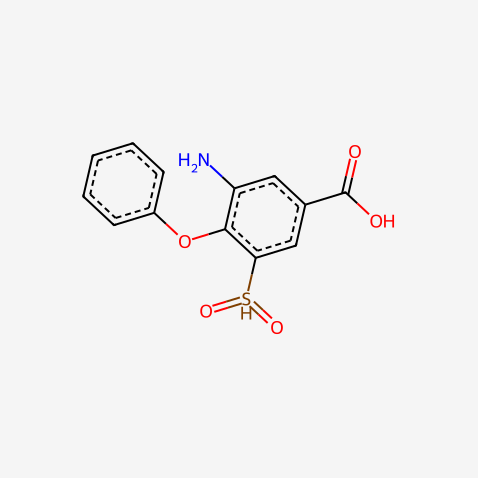 Nc1cc(C(=O)O)cc([SH](=O)=O)c1Oc1ccccc1